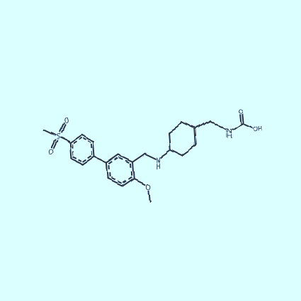 COc1ccc(-c2ccc(S(C)(=O)=O)cc2)cc1CNC1CCC(CNC(=O)O)CC1